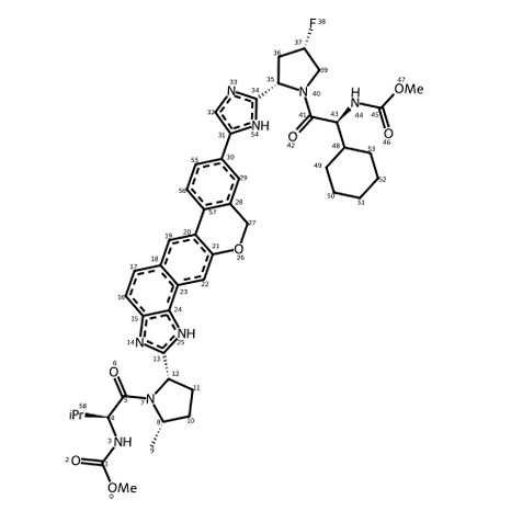 COC(=O)N[C@H](C(=O)N1[C@@H](C)CC[C@H]1c1nc2ccc3cc4c(cc3c2[nH]1)OCc1cc(-c2cnc([C@@H]3C[C@H](F)CN3C(=O)[C@@H](NC(=O)OC)C3CCCCC3)[nH]2)ccc1-4)C(C)C